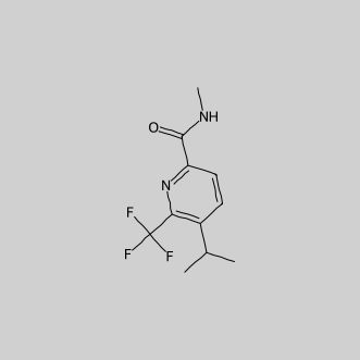 CNC(=O)c1ccc(C(C)C)c(C(F)(F)F)n1